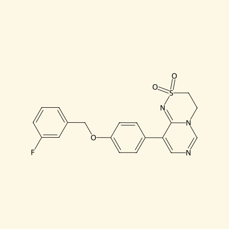 O=S1(=O)CCN2C=NC=C(c3ccc(OCc4cccc(F)c4)cc3)C2=N1